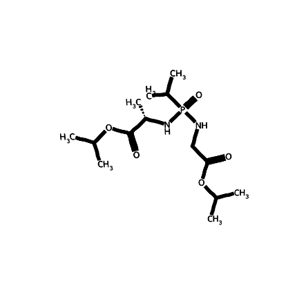 CC(C)OC(=O)CNP(=O)(N[C@@H](C)C(=O)OC(C)C)C(C)C